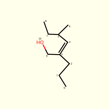 CCCC(=CC(C)CC)CO